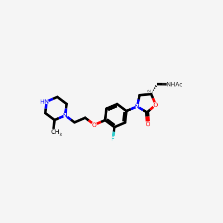 CC(=O)NC[C@H]1CN(c2ccc(OCCN3CCNCC3C)c(F)c2)C(=O)O1